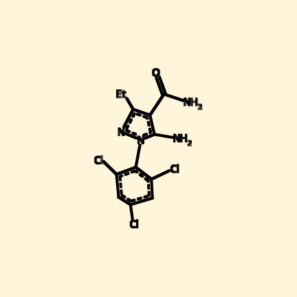 CCc1nn(-c2c(Cl)cc(Cl)cc2Cl)c(N)c1C(N)=O